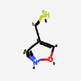 SCc1cnoc1